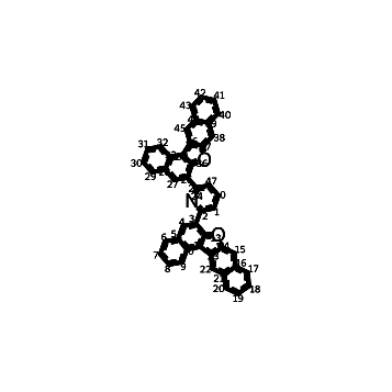 c1cc(-c2cc3ccccc3c3c2oc2cc4ccccc4cc23)nc(-c2cc3ccccc3c3c2oc2cc4ccccc4cc23)c1